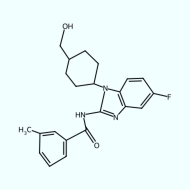 Cc1cccc(C(=O)Nc2nc3cc(F)ccc3n2C2CCC(CO)CC2)c1